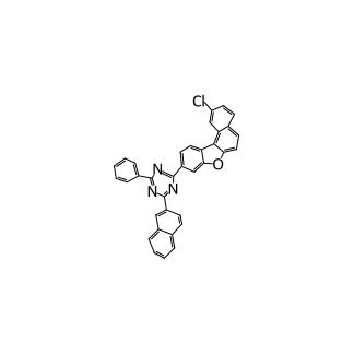 Clc1ccc2ccc3oc4cc(-c5nc(-c6ccccc6)nc(-c6ccc7ccccc7c6)n5)ccc4c3c2c1